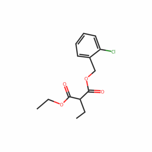 CCOC(=O)C(CC)C(=O)OCc1ccccc1Cl